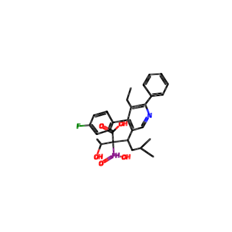 CCc1c(-c2ccccc2)ncc(C(CC(C)C)C(C(=O)O)(C(C)O)[PH](=O)O)c1-c1ccc(F)cc1